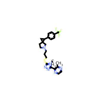 Cc1nccnc1-c1nnc(SCCCN2CCC3(CC3c3ccc(C(F)(F)F)cc3)C2)n1C